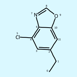 CCc1cc(Cl)c2ncoc2c1